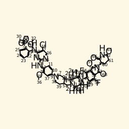 [2H]C1([2H])N(CC2CCN(c3ccc(Nc4ncc(Cl)c(Nc5ccccc5P(=O)(OC)OC)n4)c(OC)c3)CC2)C([2H])([2H])C([2H])([2H])N(c2c(F)c(F)c3c(c2F)C(=O)N(C2CCC(=O)NC2=O)C3=O)C1([2H])[2H]